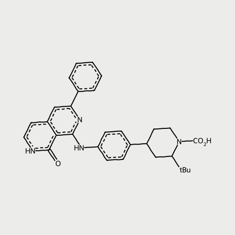 CC(C)(C)C1CC(c2ccc(Nc3nc(-c4ccccc4)cc4cc[nH]c(=O)c34)cc2)CCN1C(=O)O